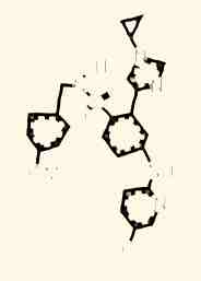 COc1ccc(CN(C)S(=O)(=O)c2ccc(Nc3ccc(C(F)(F)F)cn3)cc2-c2cn(C3CC3)cn2)cc1